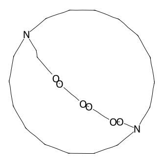 C1CCCCN2CCCCCCCCN(CCC1)CCOOOOOO2